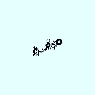 Cc1cc(C)nc(CSCc2cc(=O)n(-c3nc4ccccc4s3)[nH]2)n1